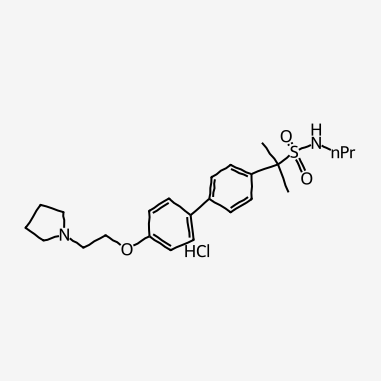 CCCNS(=O)(=O)C(C)(C)c1ccc(-c2ccc(OCCN3CCCC3)cc2)cc1.Cl